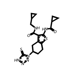 O=C(NCC1CC1)c1c(NC(=O)C2CC2)sc2c1CC(n1nn[nH]c1=S)CC2